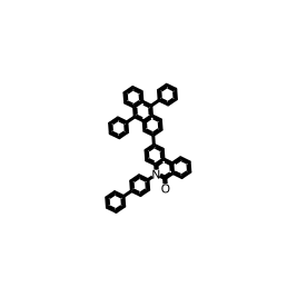 O=c1c2ccccc2c2cc(-c3ccc4c(-c5ccccc5)c5ccccc5c(-c5ccccc5)c4c3)ccc2n1-c1ccc(-c2ccccc2)cc1